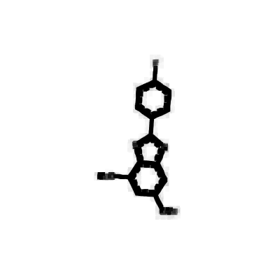 COc1cc(OC)c2sc(-c3ccc(F)cc3)nc2c1